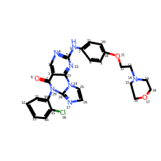 O=c1c2cnc(Nc3ccc(OCCN4CCOCC4)cc3)nc2n2ccnc2n1-c1ccccc1Cl